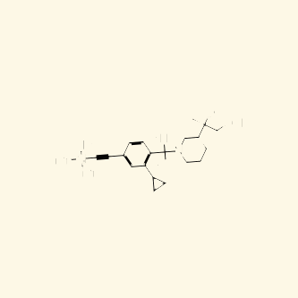 [2H]C([2H])(c1ccc(C#C[Si](C(C)C)(C(C)C)C(C)C)cc1C1CC1)N1CCC[C@H]([C@](C)(O)CO)C1